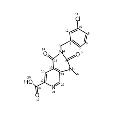 Cn1c(=O)n(Cc2cccc(Cl)c2)c(=O)c2cc(C(=O)O)ncc21